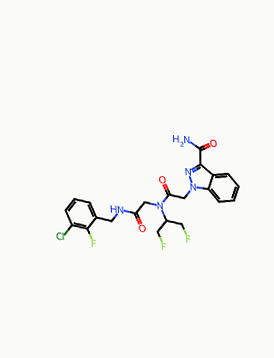 NC(=O)c1nn(CC(=O)N(CC(=O)NCc2cccc(Cl)c2F)C(CF)CF)c2ccccc12